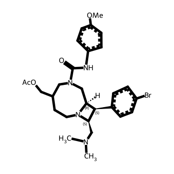 COc1ccc(NC(=O)N2CC(COC(C)=O)CCN3[C@H](CN(C)C)[C@H](c4ccc(Br)cc4)[C@@H]3C2)cc1